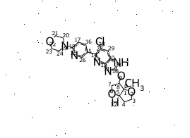 C[C@]12OCC[C@H]1OCC2Oc1nc2nc(-c3ccc(N4CCOCC4)nc3)c(Cl)cc2[nH]1